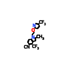 [C-]#[N+]c1ccc2c(cc(C)n2CCOc2ccc(C(F)(F)F)cn2)c1C(F)(F)F